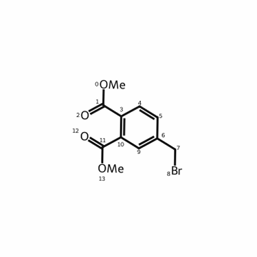 COC(=O)c1ccc(CBr)cc1C(=O)OC